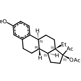 CC[C@]12CC[C@@H]3c4ccc(OC)cc4CC[C@H]3[C@@H]1CC[C@@]2(OC(C)=O)C(C)=O